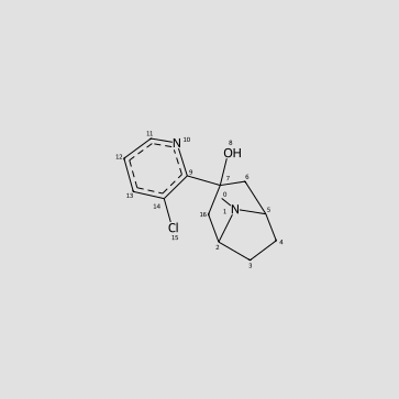 CN1C2CCC1CC(O)(c1ncccc1Cl)C2